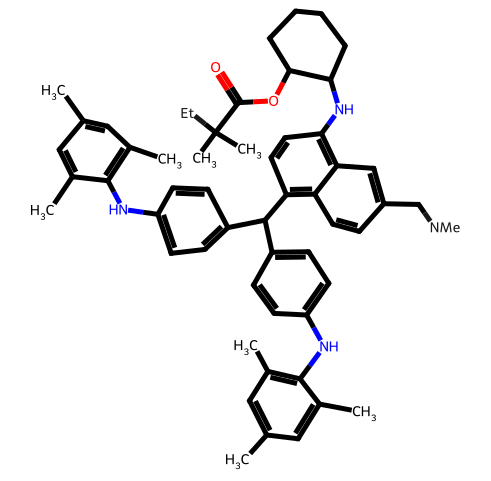 CCC(C)(C)C(=O)OC1CCCCC1Nc1ccc(C(c2ccc(Nc3c(C)cc(C)cc3C)cc2)c2ccc(Nc3c(C)cc(C)cc3C)cc2)c2ccc(CNC)cc12